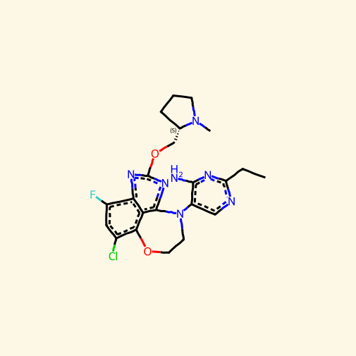 CCc1ncc(N2CCOc3c(Cl)cc(F)c4nc(OC[C@@H]5CCCN5C)nc2c34)c(N)n1